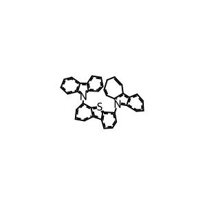 C1=Cc2c(n(-c3cccc4c3sc3c(-n5c6ccccc6c6ccccc65)cccc34)c3ccccc23)C=CC1